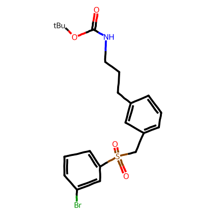 CC(C)(C)OC(=O)NCCCc1cccc(CS(=O)(=O)c2cccc(Br)c2)c1